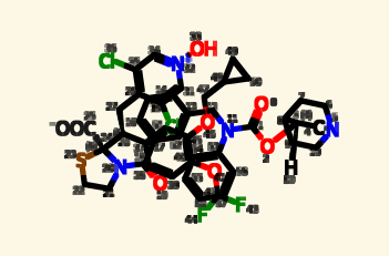 O=C(O[C@H]1CN2CCC1CC2)N(Cc1cccc(C(=O)N2CCS[C@]2(C(=O)[O-])[C@@H](Cc2c(Cl)c[n+](O)cc2Cl)c2ccc(OC(F)F)c(OCC3CC3)c2)c1)c1ccccc1